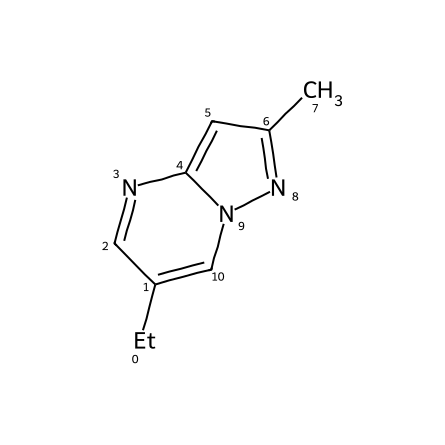 CCc1cnc2cc(C)nn2c1